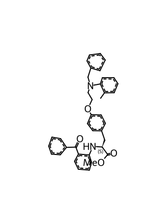 COC(=O)[C@H](Cc1ccc(OCCN(Cc2ccccc2)c2ccccc2C)cc1)Nc1ccccc1C(=O)c1ccccc1